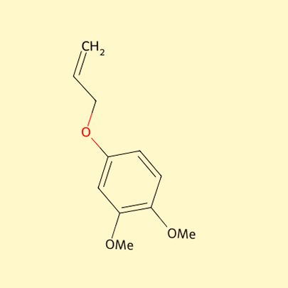 C=CCOc1ccc(OC)c(OC)c1